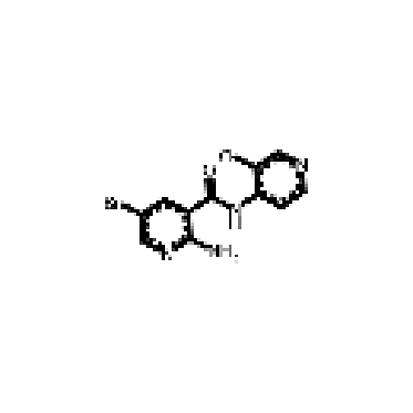 Nc1ncc(Br)cc1C(=O)Nc1ccncc1Cl